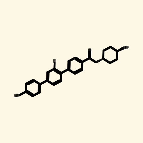 CCCc1ccc(-c2ccc(-c3ccc(C(=O)C[C@H]4CC[C@H](CCC)CC4)cc3)c(F)c2)cc1